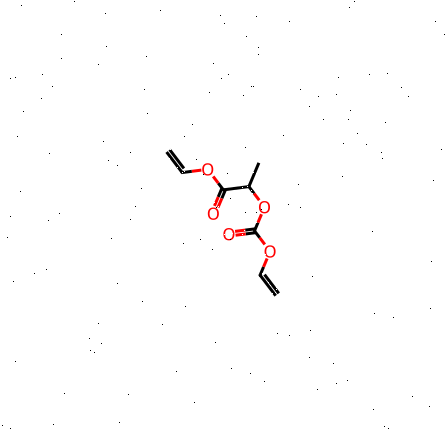 C=COC(=O)OC(C)C(=O)OC=C